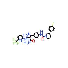 NC(=O)c1c(-c2ccc(NC(=O)N3CCC[C@H](c4ccc(F)cc4)C3)cc2)n[nH]c1Nc1cccc(C(F)(F)F)n1